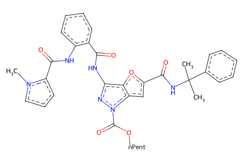 CCCCCOC(=O)n1nc(NC(=O)c2ccccc2NC(=O)c2cccn2C)c2oc(C(=O)NC(C)(C)c3ccccc3)cc21